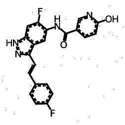 O=C(Nc1cc2c(C=Cc3ccc(F)cc3)n[nH]c2cc1F)c1ccc(O)nc1